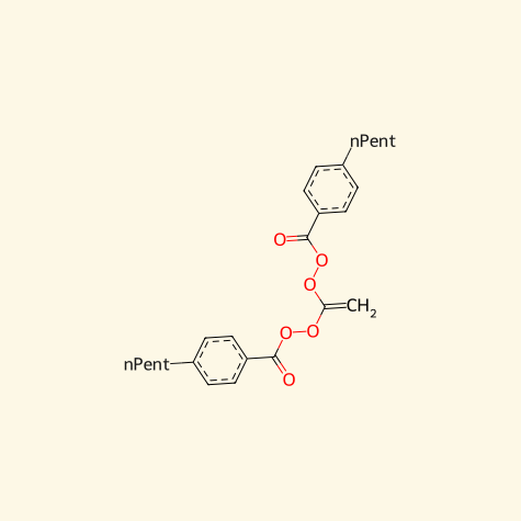 C=C(OOC(=O)c1ccc(CCCCC)cc1)OOC(=O)c1ccc(CCCCC)cc1